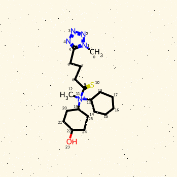 Cn1nnnc1CCCC(=S)[N+](C)(C1CCCCC1)C1CCC(O)CC1